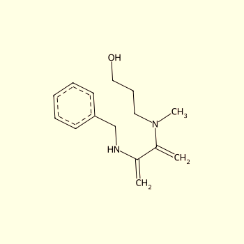 C=C(NCc1ccccc1)C(=C)N(C)CCCO